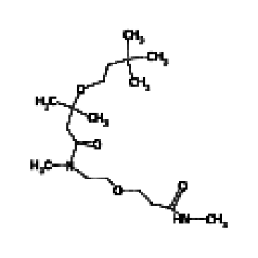 CNC(=O)CCOCCN(C)C(=O)CC(C)(C)OCCC(C)(C)C